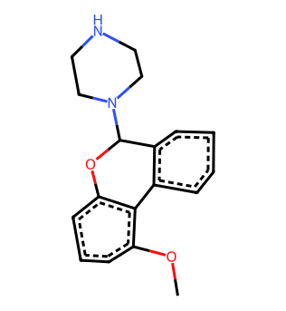 COc1cccc2c1-c1ccccc1C(N1CCNCC1)O2